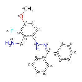 COc1ccc(NN=C(c2ccccc2)c2ccccc2)c(CN)c1F